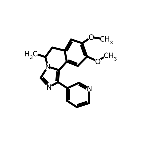 COc1cc2c(cc1OC)-c1c(-c3cccnc3)ncn1C(C)C2